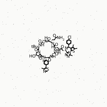 Cc1ncsc1-c1ccc([C@@H]2NC(=O)[C@@H]3C[C@@H](O)CN3C(=O)[C@H](C(C)(C)C)NC(=O)CNC(=O)[C@H](CCC(N)=O)NC(=O)[C@@H](CNC(=O)C[C@@H]3N=C(c4ccc(Cl)cc4)c4c(sc(C)c4C)-n4c(C)nnc43)NC(=O)CNC2=O)cc1